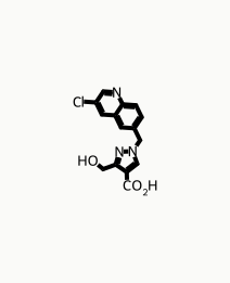 O=C(O)c1cn(Cc2ccc3ncc(Cl)cc3c2)nc1CO